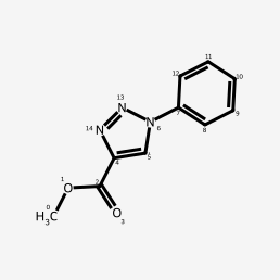 COC(=O)c1[c]n(-c2ccccc2)nn1